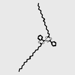 CCCCCCCC/C=C/CCCCCCCC(=O)OC(SSC(OC(=O)CCCCCCC/C=C/CCCCCCCC)c1ccccc1)c1ccccc1